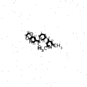 Cc1cc(C[C@H]2CCCN([C@H](C)c3cnc4c(c3)OCCO4)C2)cc(C)n1